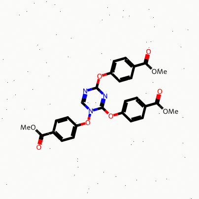 COC(=O)c1ccc(OC2=NC(Oc3ccc(C(=O)OC)cc3)N=CN2Oc2ccc(C(=O)OC)cc2)cc1